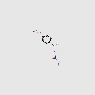 CCS(=O)(=O)c1ccc([C@@H](N)CNC(=O)NC)cc1